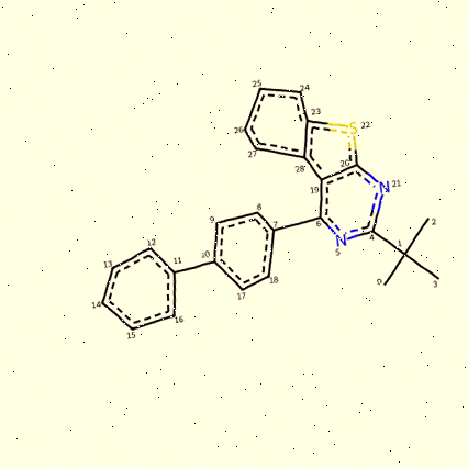 CC(C)(C)c1nc(-c2ccc(-c3ccccc3)cc2)c2c(n1)sc1ccccc12